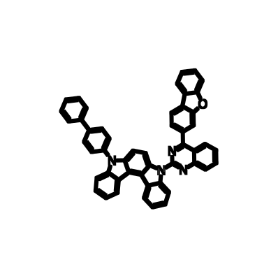 c1ccc(-c2ccc(-n3c4ccccc4c4c5c6ccccc6n(-c6nc(-c7ccc8c(c7)oc7ccccc78)c7ccccc7n6)c5ccc43)cc2)cc1